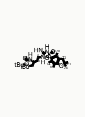 CCC(C)CC(CCNC(=N)NS(=O)(=O)c1c(C)c(C)c2c(c1C)CC(C)(C)O2)NC(=O)OC(C)(C)C